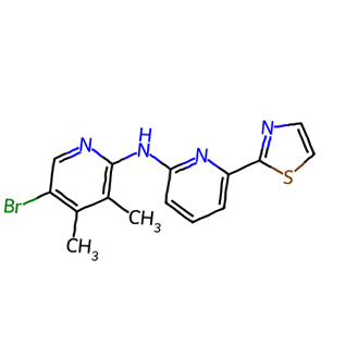 Cc1c(Br)cnc(Nc2cccc(-c3nccs3)n2)c1C